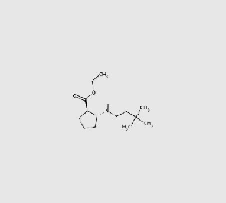 CCOC(=O)[C@@H]1CCC[C@H]1NCCC(C)(C)C